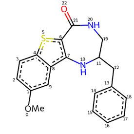 COc1ccc2sc3c(c2c1)NC(Cc1ccccc1)CNC3=O